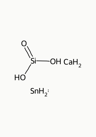 O=[Si](O)O.[CaH2].[SnH2]